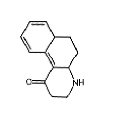 O=C1CCNC2CCC3C=CC=CC3=C12